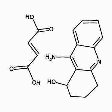 Nc1c2c(nc3ccccc13)CCCC2O.O=C(O)C=CC(=O)O